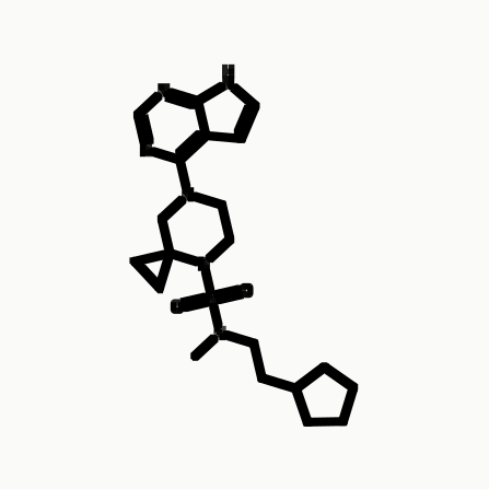 CN(CCC1CCCC1)S(=O)(=O)N1CCN(c2ncnc3[nH]ccc23)CC12CC2